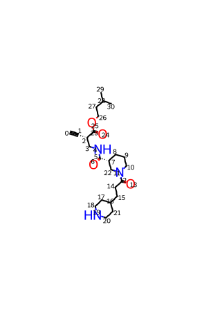 C#C[C@@H](CNC(=O)[C@@H]1CCCN(C(=O)CCC2CCNCC2)C1)C(=O)OCCC(C)C